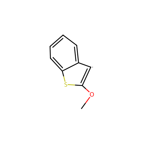 COc1[c]c2ccccc2s1